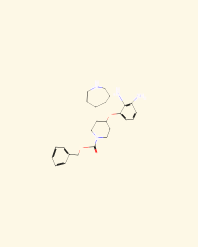 Nc1cccc(OC2CCN(C(=O)OCc3ccccc3)CC2)c1N[C@@H]1CCCCNC1